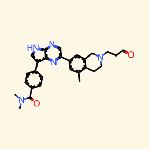 Cc1cc(-c2cnc3[nH]cc(-c4ccc(C(=O)N(C)C)cc4)c3n2)cc2c1CCN(CCC=O)C2